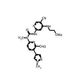 COCCNc1cc(NC(=O)N(C)c2ccc(-c3cnn(C)c3)c(C=O)n2)ncc1C#N